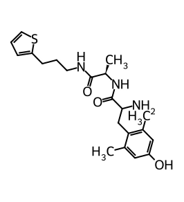 Cc1cc(O)cc(C)c1CC(N)C(=O)N[C@H](C)C(=O)NCCCc1cccs1